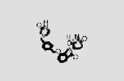 NN1C(=O)CCC(N2Cc3c(OCc4ccc(CN5CCNC(=O)C5)cc4)cccc3C2=O)C1=O